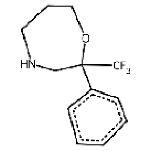 FC(F)(F)C1(c2ccccc2)CNCCCO1